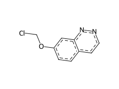 ClCOc1ccc2ccnnc2c1